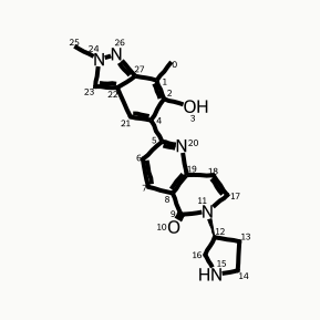 Cc1c(O)c(-c2ccc3c(=O)n([C@H]4CCNC4)ccc3n2)cc2cn(C)nc12